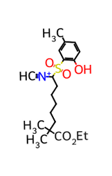 C#[N+]C(CCCCCC(C)(C)C(=O)OCC)S(=O)(=O)c1cc(C)ccc1O